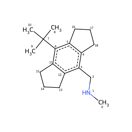 CNCc1c2c(c(C(C)(C)C)c3c1CCC3)CCC2